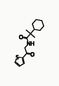 CC(C)(C(=O)NCC(=O)c1cccs1)C1CCCCC1